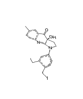 CCc1cc(N2CC[C@@]3(O)C(=O)c4cc(C)ccc4N=C23)ccc1CI